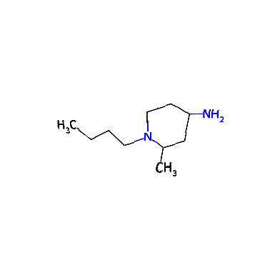 CCCCN1CCC(N)CC1C